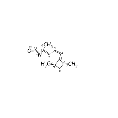 C/C(=C\C=C/C1C(C)C[C@H]1C)N=C=O